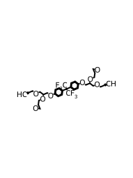 C#CCOCC(COc1ccc(C(c2ccc(OCC(COCC#C)OCC3CO3)cc2)(C(F)(F)F)C(F)(F)F)cc1)OCC1CO1